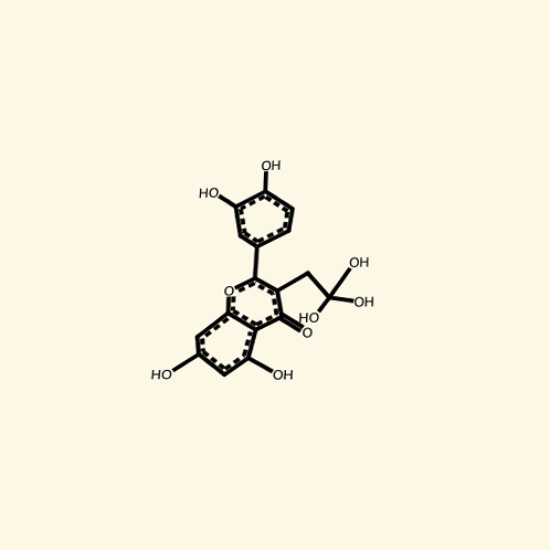 O=c1c(CC(O)(O)O)c(-c2ccc(O)c(O)c2)oc2cc(O)cc(O)c12